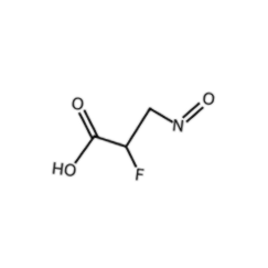 O=NCC(F)C(=O)O